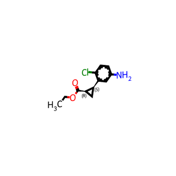 CCOC(=O)[C@@H]1C[C@@H]1c1cc(N)ccc1Cl